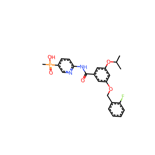 CC(C)Oc1cc(OCc2ccccc2F)cc(C(=O)Nc2ccc(P(C)(=O)O)cn2)c1